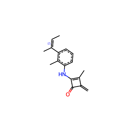 C=C1C(=O)C(Nc2cccc(/C(C)=C\C)c2C)=C1C